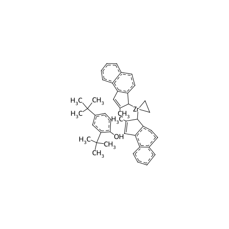 CC(C)(C)c1ccc(O)c(C(C)(C)C)c1.CC1=Cc2c(ccc3ccccc23)[CH]1[Zr]1([CH]2C(C)=Cc3c2ccc2ccccc32)[CH2][CH2]1